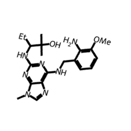 CCC(Nc1nc(NCc2cccc(OC)c2N)c2ncn(C)c2n1)C(C)(C)O